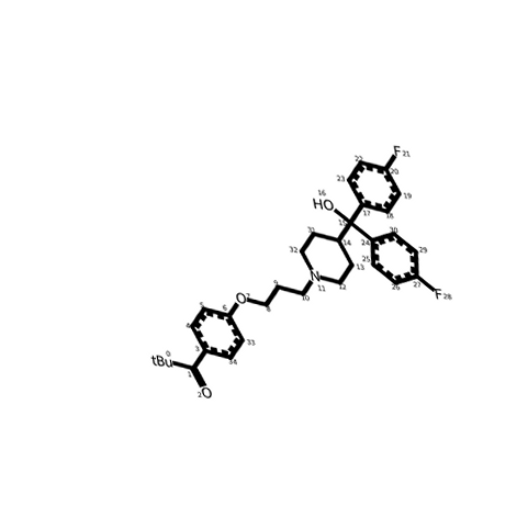 CC(C)(C)C(=O)c1ccc(OCCCN2CCC(C(O)(c3ccc(F)cc3)c3ccc(F)cc3)CC2)cc1